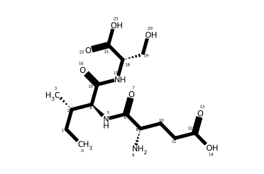 CC[C@H](C)[C@H](NC(=O)[C@@H](N)CCC(=O)O)C(=O)N[C@@H](CO)C(=O)O